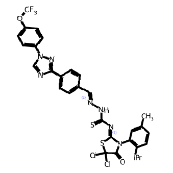 Cc1ccc(C(C)C)c(N2C(=O)C(Cl)(Cl)S/C2=N\C(=S)N/N=C/c2ccc(-c3ncn(-c4ccc(OC(F)(F)F)cc4)n3)cc2)c1